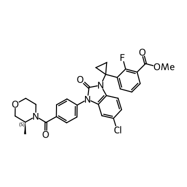 COC(=O)c1cccc(C2(n3c(=O)n(-c4ccc(C(=O)N5CCOC[C@@H]5C)cc4)c4cc(Cl)ccc43)CC2)c1F